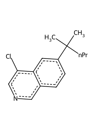 CCCC(C)(C)c1ccc2cncc(Cl)c2c1